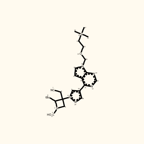 CC(C)(C)C1N(C(=O)O)CC1(CC#N)n1cc(-c2ncnc3c2ccn3COCC[Si](C)(C)C)cn1